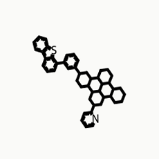 c1ccc(C2CC3C4CCCCC4C4CCCC5C6CC(c7cccc(-c8cccc9c8sc8ccccc89)c7)CCC6C(C2)C3C45)nc1